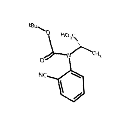 C[C@@H](C(=O)O)N(C(=O)OC(C)(C)C)c1ccccc1C#N